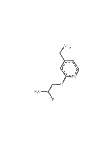 CC(F)COc1cc(CN)ccn1